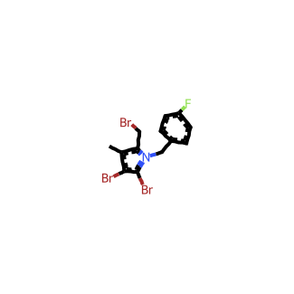 Cc1c(Br)c(Br)n(Cc2ccc(F)cc2)c1CBr